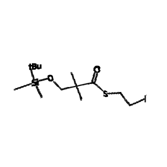 CC(C)(CO[Si](C)(C)C(C)(C)C)C(=O)SCCI